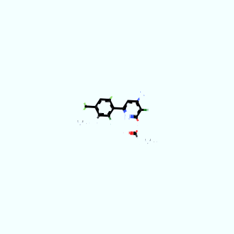 COC(=O)Oc1nc(-c2c(F)cc(C(F)F)c(OC)c2Cl)cc(N)c1Cl